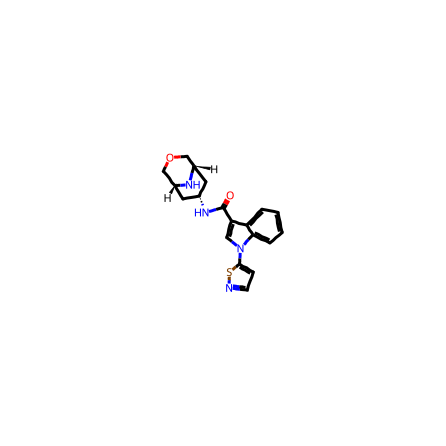 O=C(N[C@H]1C[C@H]2COC[C@@H](C1)N2)c1cn(-c2ccns2)c2ccccc12